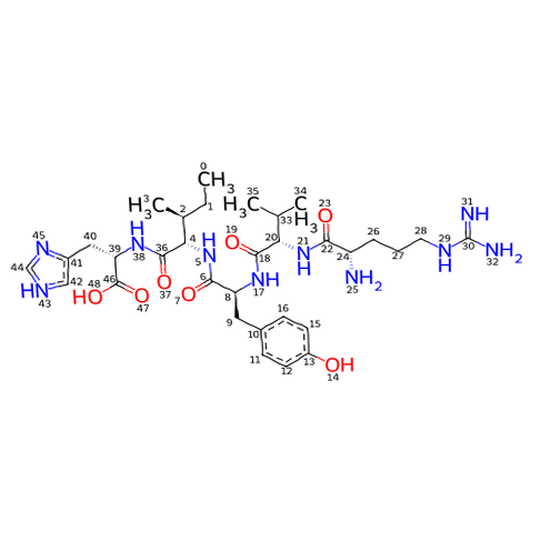 CC[C@H](C)[C@H](NC(=O)[C@H](Cc1ccc(O)cc1)NC(=O)[C@@H](NC(=O)[C@@H](N)CCCNC(=N)N)C(C)C)C(=O)N[C@@H](Cc1c[nH]cn1)C(=O)O